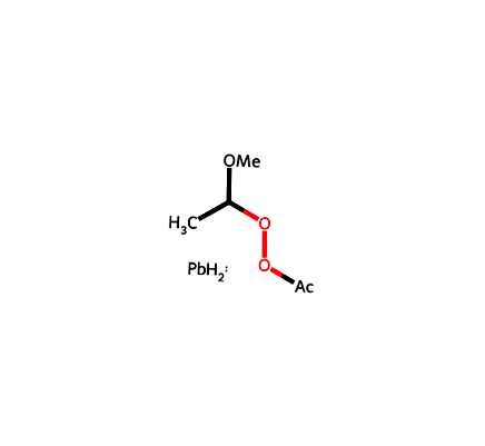 COC(C)OOC(C)=O.[PbH2]